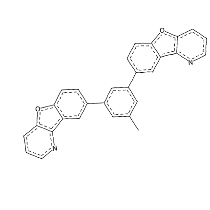 Cc1cc(-c2ccc3oc4cccnc4c3c2)cc(-c2ccc3oc4cccnc4c3c2)c1